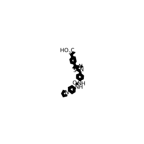 O=C(O)CCc1ccc(-c2csc3c(-c4ccc(NC(=O)Nc5ccc(N6CCCC6)cc5)cc4)ncnc23)cc1